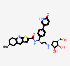 CC(C)(C)[C@H]1CCc2nc3sc(C(=O)N[C@H](CCN[C@@H]4C[C@H](CO)[C@@H](O)[C@H]4O)c4ccc(-c5ccc(=O)[nH]c5)cc4)cc3cc2C1